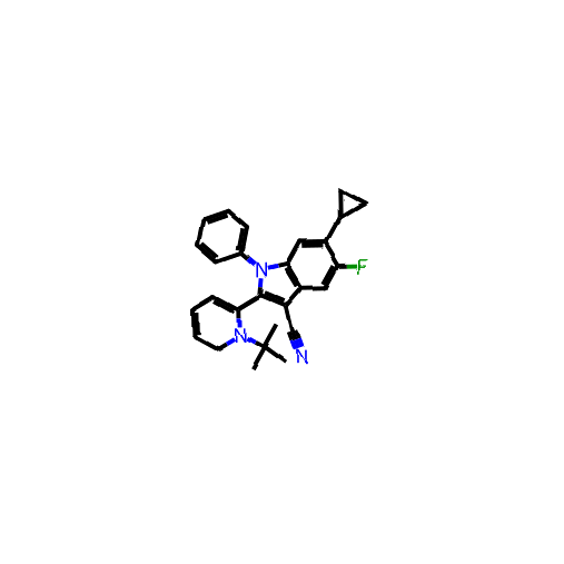 CC(C)(C)N1CC=CC=C1c1c(C#N)c2cc(F)c(C3CC3)cc2n1-c1ccccc1